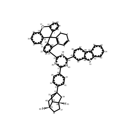 C1=CC2=C(CC1)C1(c3ccccc3Oc3ccccc31)c1cccc(-c3nc(-c4ccc(C56CC7[C@H](CC[C@H]7C5)C6)cc4)nc(-c4ccc5c(c4)sc4ccccc45)n3)c12